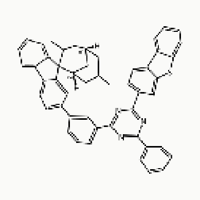 CC1C[C@H]2CC(C)C3(c4ccccc4-c4ccc(-c5cccc(-c6nc(-c7ccccc7)nc(-c7ccc8c(c7)sc7ccccc78)n6)c5)cc43)[C@@H](C1)C2